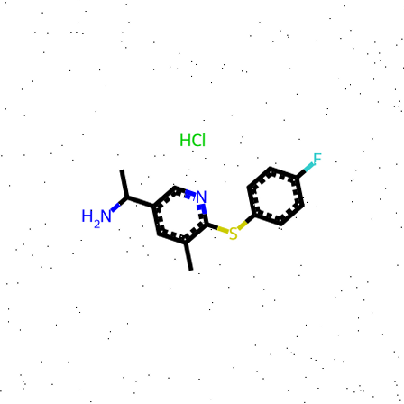 Cc1cc(C(C)N)cnc1Sc1ccc(F)cc1.Cl